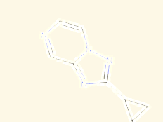 c1cn2nc(C3CC3)nc2cn1